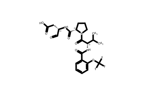 CC(C)[C@H](NC(=O)c1ccccc1OC(F)(F)F)C(=O)N1CCC[C@H]1C(=O)N[C@H](C=O)CC(=O)O